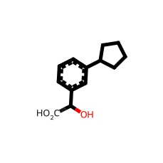 O=C(O)C(O)c1cccc(C2CCCC2)c1